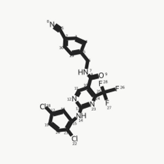 N#Cc1ccc(CNC(=O)c2cnc(Nc3cc(Cl)ccc3Cl)nc2C(F)(F)F)cc1